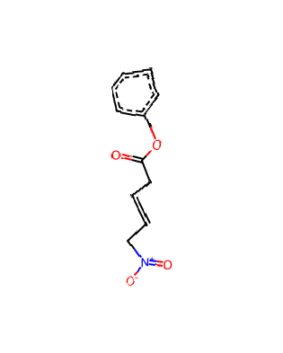 O=C(CC=CC[N+](=O)[O-])Oc1ccccc1